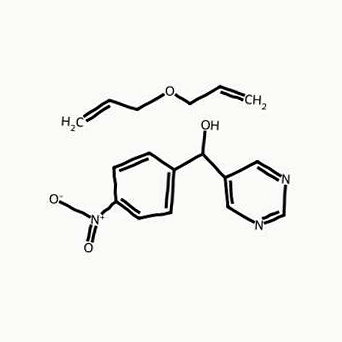 C=CCOCC=C.O=[N+]([O-])c1ccc(C(O)c2cncnc2)cc1